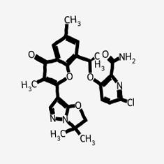 Cc1cc([C@@H](C)Oc2ccc(Cl)nc2C(N)=O)c2oc(-c3cnn4c3OCC4(C)C)c(C)c(=O)c2c1